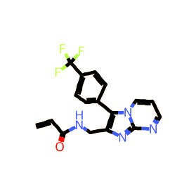 C=CC(=O)NCc1nc2ncccn2c1-c1ccc(C(F)(F)F)cc1